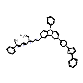 C=CC(/C=C/C=C(\S)c1ccccc1)=C\C=C\C1C=C2C(=CC1)N(c1ccccc1)C1C=CC(c3ccc(-c4ccc(-c5ccccc5)s4)cc3)=CC21